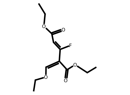 CCO/C=C(C(=O)OCC)/C(F)=C/C(=O)OCC